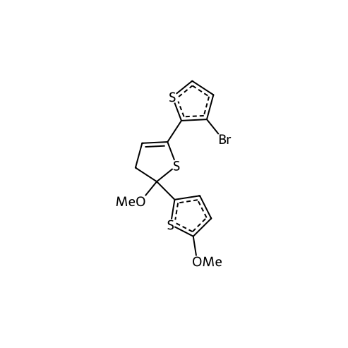 COc1ccc(C2(OC)CC=C(c3sccc3Br)S2)s1